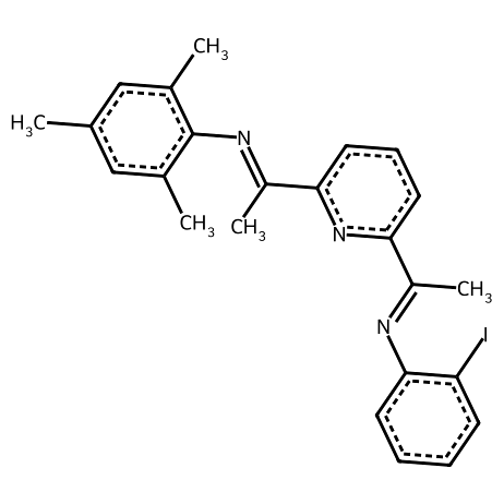 C/C(=N\c1ccccc1I)c1cccc(/C(C)=N/c2c(C)cc(C)cc2C)n1